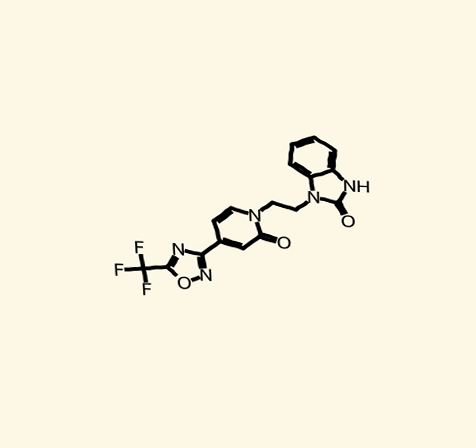 O=c1cc(-c2noc(C(F)(F)F)n2)ccn1CCn1c(=O)[nH]c2ccccc21